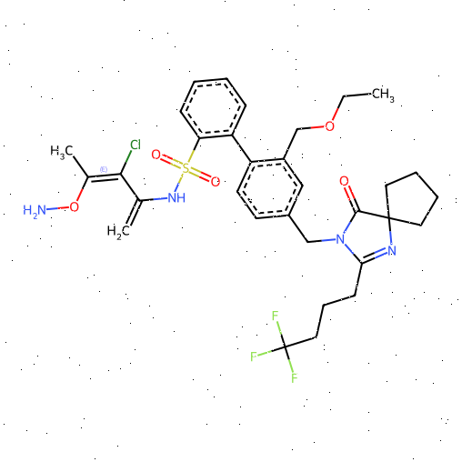 C=C(NS(=O)(=O)c1ccccc1-c1ccc(CN2C(=O)C3(CCCC3)N=C2CCCC(F)(F)F)cc1COCC)/C(Cl)=C(/C)ON